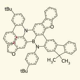 CC(C)(C)c1ccc(N2B3c4cc5occc5cc4N(c4ccc(C(C)(C)C)cc4-c4ccccc4)c4cc5c(oc6ccccc65)c(c43)-c3cc4c(cc32)C(C)(C)c2ccccc2-4)cc1